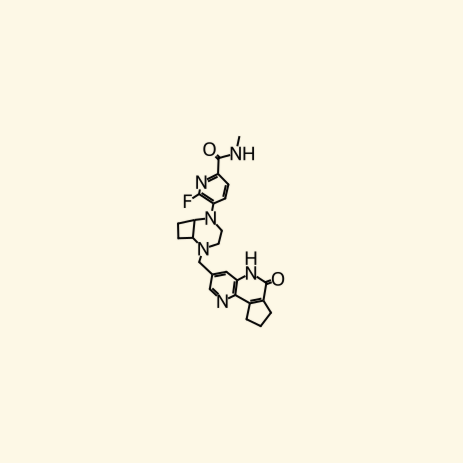 CNC(=O)c1ccc(N2CCN(Cc3cnc4c5c(c(=O)[nH]c4c3)CCC5)C3CCC32)c(F)n1